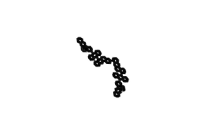 c1ccc2cc3c(cc2c1)oc1cc(-c2c4ccccc4c(-c4cccc5c4ccc4cc6c(-c7ccc8c(ccc9c(-c%10c%11ccccc%11c(-c%11ccc%12c(c%11)oc%11cc%13ccccc%13cc%11%12)c%11ccccc%10%11)c%10ccccc%10cc98)c7)cccc6cc45)c4ccccc24)ccc13